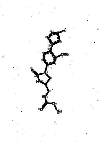 COc1cc(N2CC(CNC(=O)OC(C)(C)C)NC2=O)ccc1-n1cnc(C)c1